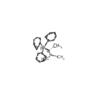 C[C@H](N(C)C)[PH](c1ccccc1)(c1ccccc1)c1ccccc1